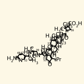 CC(C)C1=C2[C@H]3CC[C@@H]4[C@@]5(C)CC[C@H](OC(=O)[C@H]6C[C@@H](C(=O)O)C6(C)C)C(C)(C)[C@@H]5CC[C@@]4(C)[C@]3(C)CC[C@@]2(CC(=O)NCC(C)(C)NC(=O)c2ccc(N)nc2)CC1=O